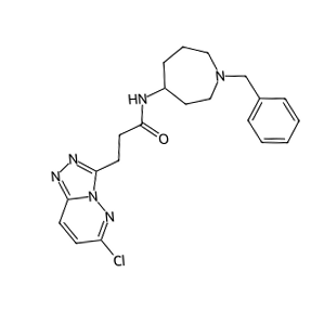 O=C(CCc1nnc2ccc(Cl)nn12)NC1CCCN(Cc2ccccc2)CC1